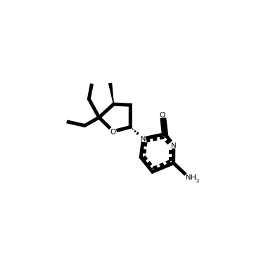 CCC1(CC)O[C@@H](n2ccc(N)nc2=O)C[C@@H]1C